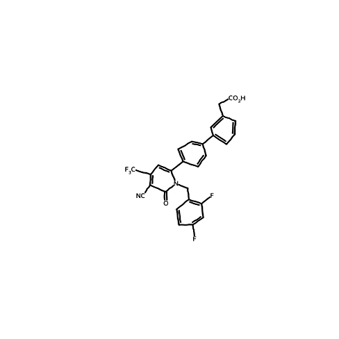 N#Cc1c(C(F)(F)F)cc(-c2ccc(-c3cccc(CC(=O)O)c3)cc2)n(Cc2ccc(F)cc2F)c1=O